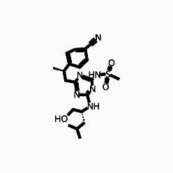 CC(C)C[C@H](CO)Nc1nc(C[C@@H](C)c2ccc(C#N)cc2)nc(NS(C)(=O)=O)n1